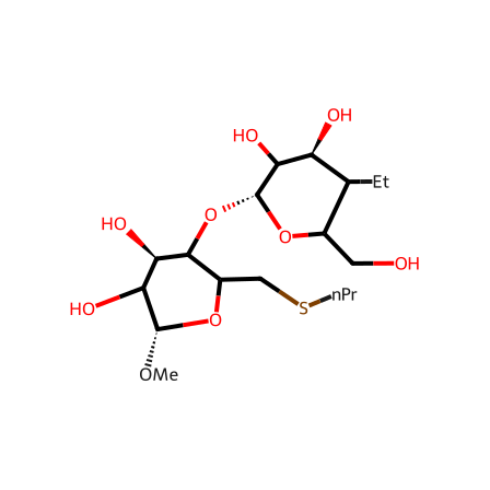 CCCSCC1O[C@H](OC)C(O)[C@@H](O)C1O[C@H]1OC(CO)C(CC)[C@H](O)C1O